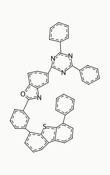 c1ccc(-c2nc(-c3ccccc3)nc(-c3ccc4oc(-c5cccc(-c6cccc7c6sc6c(-c8ccccc8)cccc67)c5)nc4c3)n2)cc1